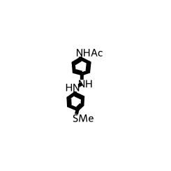 CSc1ccc(NNc2ccc(NC(C)=O)cc2)cc1